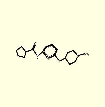 CN1CCC(Sc2cccc(NC(=O)C3CCCC3)n2)CC1